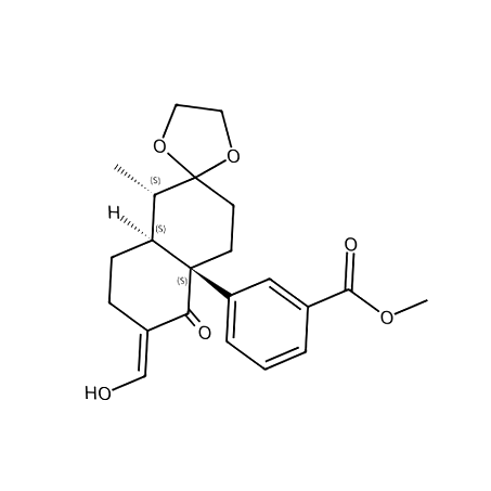 COC(=O)c1cccc([C@]23CCC4(OCCO4)[C@@H](C)[C@@H]2CCC(=CO)C3=O)c1